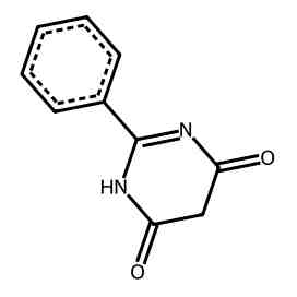 O=C1CC(=O)NC(c2ccccc2)=N1